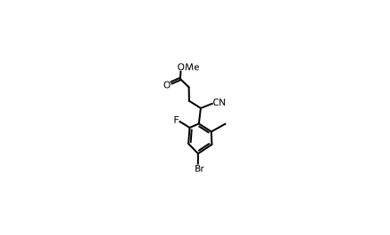 COC(=O)CCC(C#N)c1c(C)cc(Br)cc1F